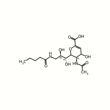 CCCCC(=O)NC[C@@H](O)[C@@H](O)C1OC(C(=O)O)=CC(O)[C@H]1NC(C)=O